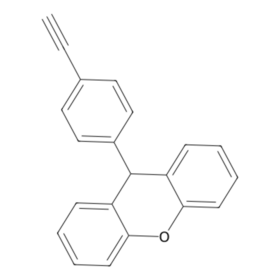 C#Cc1ccc(C2c3ccccc3Oc3ccccc32)cc1